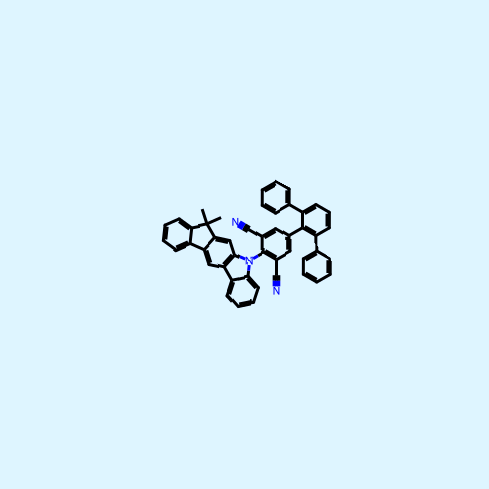 CC1(C)c2ccccc2-c2cc3c4ccccc4n(-c4c(C#N)cc(-c5c(-c6ccccc6)cccc5-c5ccccc5)cc4C#N)c3cc21